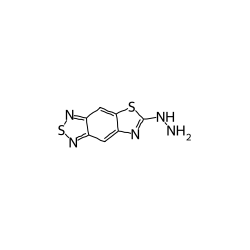 NNc1nc2cc3nsnc3cc2s1